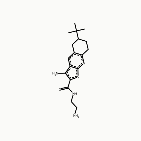 CC(C)(C)C1CCc2nc3sc(C(=O)NCCN)c(N)c3cc2C1